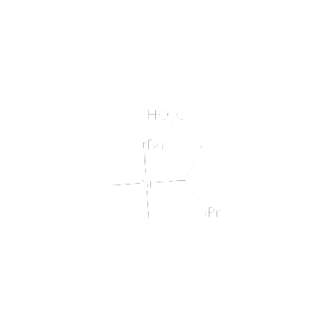 CC(C)C(CC(=O)O)[Si](C)(C)C(C)(C)C